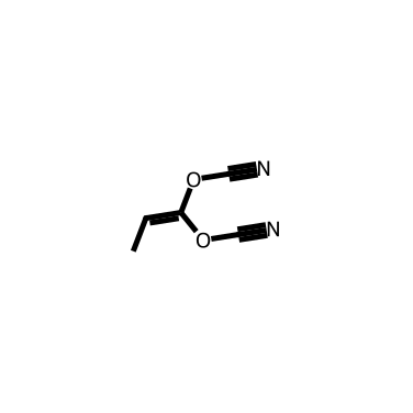 CC=C(OC#N)OC#N